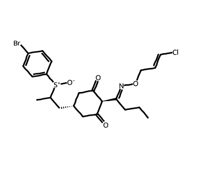 CCCC(=NOCC=CCl)[C@H]1C(=O)C[C@H](CC(C)[S+]([O-])c2ccc(Br)cc2)CC1=O